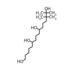 CC(C)(O)C(C)(C)CCCC(O)CCCC(O)CCCCCO